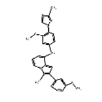 COc1cccc(-c2nc3c(Nc4ccc(-n5cnc(C)n5)c(OC)c4)cccn3c2C)c1